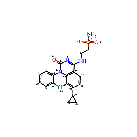 NS(=O)(=O)CCNc1nc(=O)n(-c2ccccc2Cl)c2cc(C3CC3)ccc12